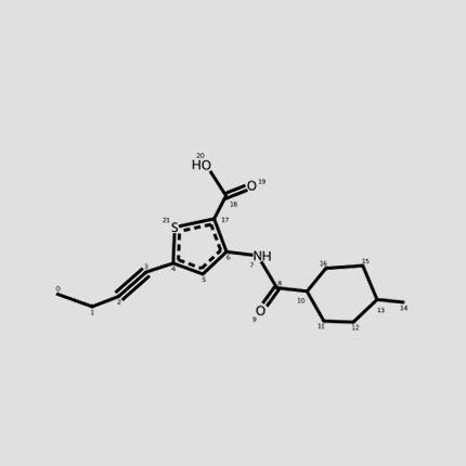 CCC#Cc1cc(NC(=O)C2CCC(C)CC2)c(C(=O)O)s1